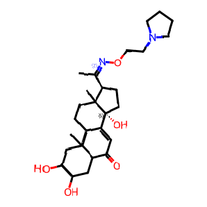 C/C(=N/OCCN1CCCC1)C1CC[C@@]2(O)C3=CC(=O)C4CC(O)C(O)CC4(C)C3CCC12C